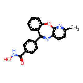 Cc1ccc2c(n1)Oc1ccccc1C(c1ccc(C(=O)NO)cc1)=N2